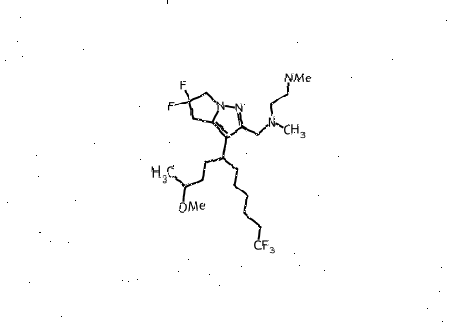 CNCCN(C)Cc1nn2c(c1C(CCCCCC(F)(F)F)CCC(C)OC)CC(F)(F)C2